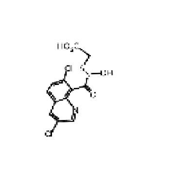 O=C(O)CSN(O)C(=O)c1c(Cl)ccc2cc(Cl)cnc12